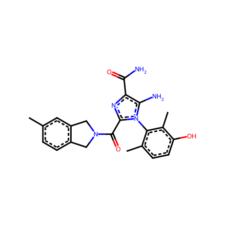 Cc1ccc2c(c1)CN(C(=O)c1nc(C(N)=O)c(N)n1-c1c(C)ccc(O)c1C)C2